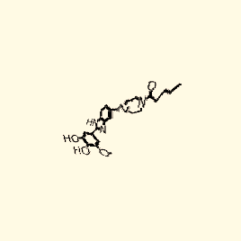 C=CCCC(=O)N1CCN(c2ccc3[nH]c(-c4cc(O)c(O)c(OC)c4)nc3c2)CC1